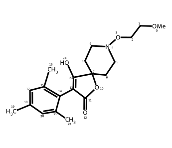 COCCON1CCC2(CC1)OC(=O)C(c1c(C)cc(C)cc1C)=C2O